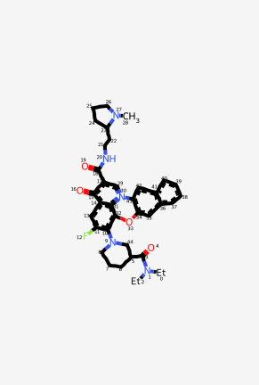 CCN(CC)C(=O)C1CCCN(c2c(F)cc3c(=O)c(C(=O)NCCC4CCCN4C)cn4c3c2Oc2cc3ccccc3cc2-4)C1